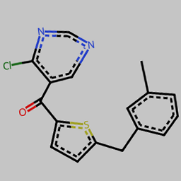 Cc1cccc(Cc2ccc(C(=O)c3cncnc3Cl)s2)c1